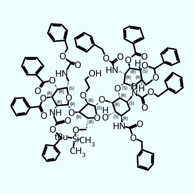 CC(C)(C)[Si](C)(C)OC[C@H]1O[C@@H](O[C@@H]2[C@@H](O)[C@H](NC(=O)OCc3ccccc3)C[C@H](NC(=O)OCc3ccccc3)[C@H]2O[C@H]2O[C@@H]3COC(c4ccccc4)O[C@H]3[C@H](OC(=O)c3ccccc3)[C@H]2NC(=O)OCc2ccccc2)[C@H](OCCO)[C@@H]1O[C@H]1O[C@@H](CNC(=O)OCc2ccccc2)[C@@H](OC(=O)c2ccccc2)[C@H](OC(=O)c2ccccc2)[C@H]1NC(=O)OCc1ccccc1